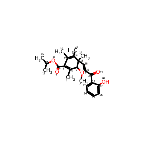 COC1C(C)=C(C(=O)OC(C)C)C(C)=C(C)C1(C)C=CC(=O)c1ccccc1O